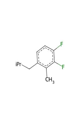 Cc1c(CC(C)C)ccc(F)c1F